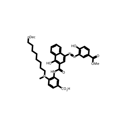 CCCCCCCCCCCCCCCCCCN(C)c1ccc(C(=O)O)cc1NC(=O)c1cc(/N=N/c2cc(C(=O)OC)ccc2O)c2ccccc2c1O